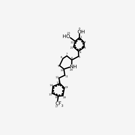 Oc1ccc(CC2CCCC(CCc3ccc(C(F)(F)F)cc3)N2)cc1O